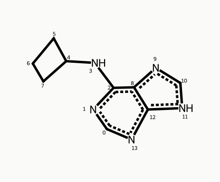 c1nc(NC2CCC2)c2nc[nH]c2n1